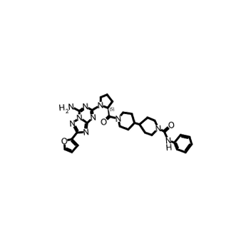 Nc1nc(N2CCC[C@H]2C(=O)N2CCC(C3CCN(C(=O)Nc4ccccc4)CC3)CC2)nc2nc(-c3ccco3)nn12